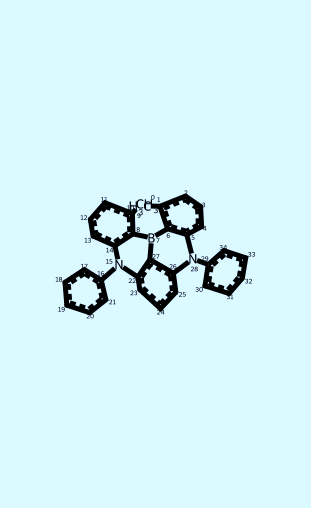 Cc1cccc2c1B1c3c(C)cccc3N(c3ccccc3)c3cccc(c31)N2c1ccccc1